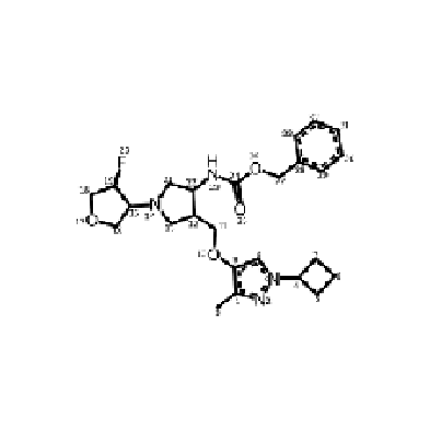 Cc1nn(C2CCC2)cc1OCC1CN(C2COCC2F)CC1NC(=O)OCc1ccccc1